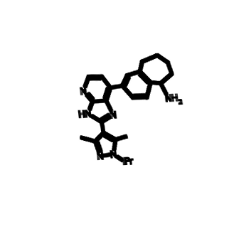 Cc1nn(C(C)C)c(C)c1-c1nc2c(-c3ccc4c(c3)CCCCC4N)ccnc2[nH]1